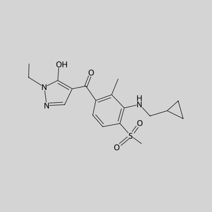 CCn1ncc(C(=O)c2ccc(S(C)(=O)=O)c(NCC3CC3)c2C)c1O